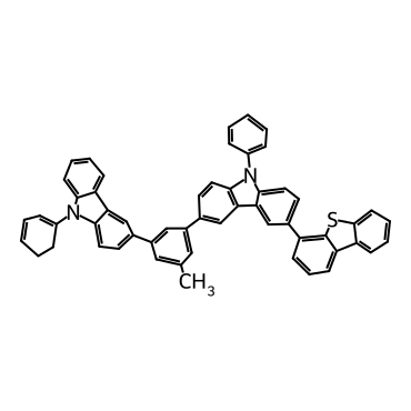 Cc1cc(-c2ccc3c(c2)c2ccccc2n3C2=CC=CCC2)cc(-c2ccc3c(c2)c2cc(-c4cccc5c4sc4ccccc45)ccc2n3-c2ccccc2)c1